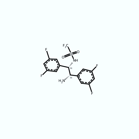 N[C@@H](c1cc(F)cc(F)c1)[C@@H](NS(=O)(=O)C(F)(F)F)c1cc(F)cc(F)c1